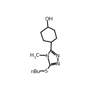 CCCCSc1nnc(C2CCC(O)CC2)n1C